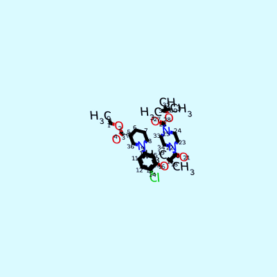 CCOC(=O)[C@@H]1CCCN(c2ccc(Cl)c(OC(C)(C)C(=O)N3CCN(C(=O)OC(C)(C)C)CC3)c2)C1